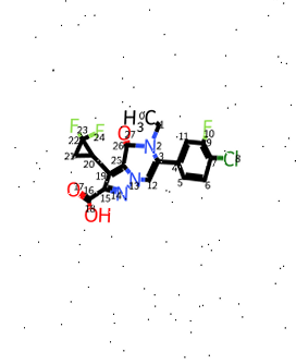 CCn1c(-c2ccc(Cl)c(F)c2)cn2nc(C(=O)O)c(C3CC3(F)F)c2c1=O